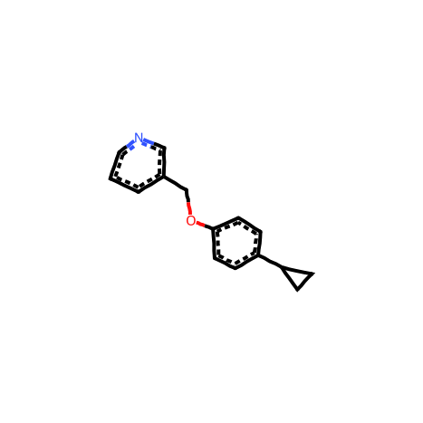 c1cncc(COc2ccc(C3CC3)cc2)c1